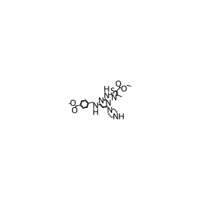 CCOC(=O)c1sc(Nc2nc(NCc3ccc(C(=O)OC)cc3)cc(N3CCNCC3)n2)nc1C